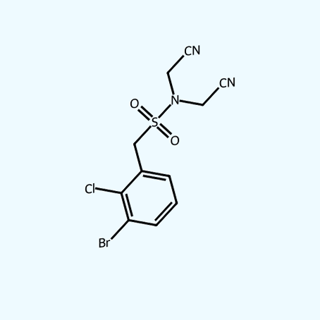 N#CCN(CC#N)S(=O)(=O)Cc1cccc(Br)c1Cl